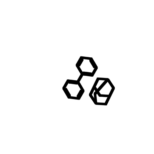 C1C2CC3CC1CC(C2)C3.c1ccc(-c2ccccc2)cc1